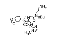 CCCCN(CCCN)C(=O)CN1C[C@H](c2ccc3c(c2)OCO3)[C@@H](C(=O)O)[C@@H]1CCc1nccn1C